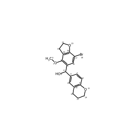 COc1c(C(O)c2ccc3c(c2)CCCO3)cc(Br)c2c1CCO2